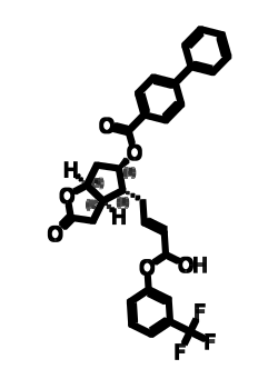 O=C1C[C@@H]2[C@@H](CC=CC(O)Oc3cccc(C(F)(F)F)c3)[C@H](OC(=O)c3ccc(-c4ccccc4)cc3)C[C@@H]2O1